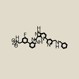 CS(=O)(=O)NCc1cc(F)cc(-c2cccc3[nH]c(-c4n[nH]c5ccc(-c6cncc(CNCc7ccccc7)c6)nc45)nc23)c1